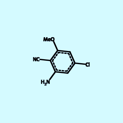 COc1cc(Cl)cc(N)c1C#N